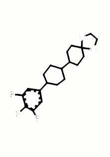 Fc1cc(C2CCC(C3CCC4(CC3)OCCO4)CC2)cc(F)c1F